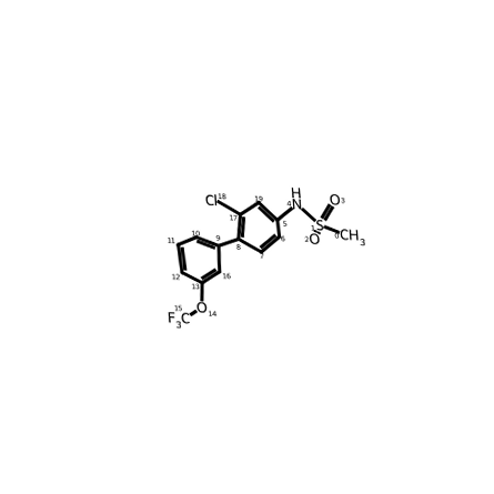 CS(=O)(=O)Nc1ccc(-c2cccc(OC(F)(F)F)c2)c(Cl)c1